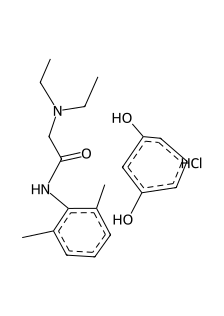 CCN(CC)CC(=O)Nc1c(C)cccc1C.Cl.Oc1cccc(O)c1